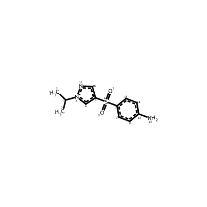 CC(C)n1cc(S(=O)(=O)c2ccc(N)cc2)cn1